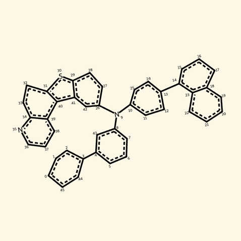 c1ccc(-c2cccc(N(c3ccc(-c4cccc5ccccc45)cc3)c3ccc4sc5ccc6ncccc6c5c4c3)c2)cc1